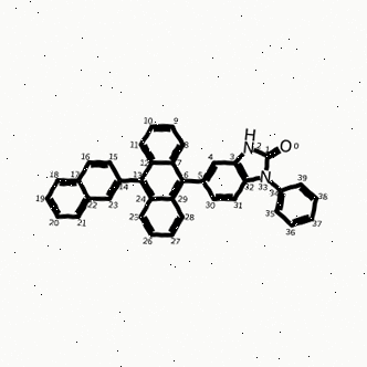 O=c1[nH]c2cc(-c3c4ccccc4c(-c4ccc5ccccc5c4)c4ccccc34)ccc2n1-c1ccccc1